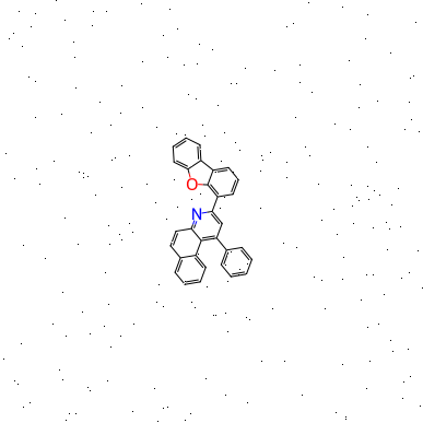 c1ccc(-c2cc(-c3cccc4c3oc3ccccc34)nc3ccc4ccccc4c23)cc1